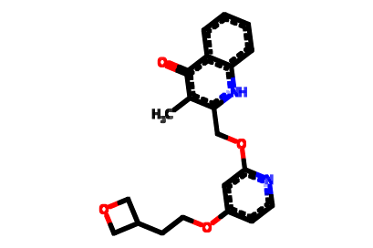 Cc1c(COc2cc(OCCC3COC3)ccn2)[nH]c2ccccc2c1=O